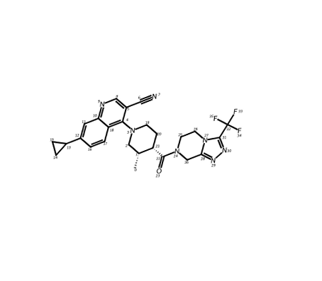 C[C@@H]1CN(c2c(C#N)cnc3cc(C4CC4)ccc23)CC[C@@H]1C(=O)N1CCn2c(nnc2C(F)(F)F)C1